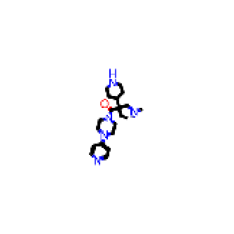 CCC(CN(C)C)(C(=O)N1CCN(c2ccncc2)CC1)C1CCNCC1